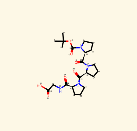 CC(C)(C)OC(=O)N1CCC[C@H]1C(=O)N1CCC[C@H]1C(=O)N1CCC[C@H]1C(=O)NCC(=O)O